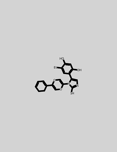 CCc1cc(-c2cnc(S)n2C2=COC(C3=CC=CCC3)=CO2)c(O)cc1O